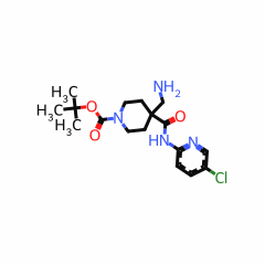 CC(C)(C)OC(=O)N1CCC(CN)(C(=O)Nc2ccc(Cl)cn2)CC1